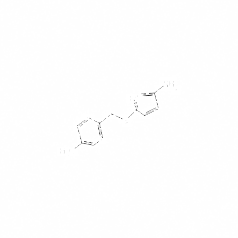 Cc1ccc(CSc2ccc(N)cn2)cc1